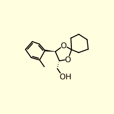 Cc1ccccc1[C@H]1OC2(CCCCC2)O[C@@H]1CO